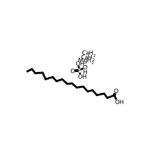 CCCCCCCCCCCCCCCCCC(=O)O.O=P(O)(O)O.[CaH2].[CaH2].[MgH2]